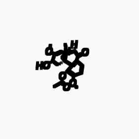 COC1=CC2[C@@H]3C(=O)c4ccc(OC)c(OC(C)=O)c4[C@@]2(C[C@@H]1O)CN3C